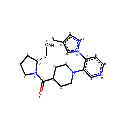 COC[C@H]1CCCN1C(=O)C1CCN(c2cnccc2-n2cc(C)cn2)CC1